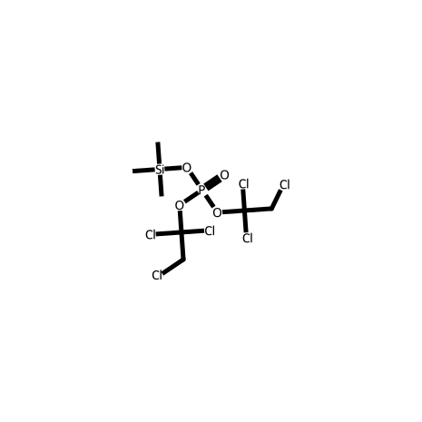 C[Si](C)(C)OP(=O)(OC(Cl)(Cl)CCl)OC(Cl)(Cl)CCl